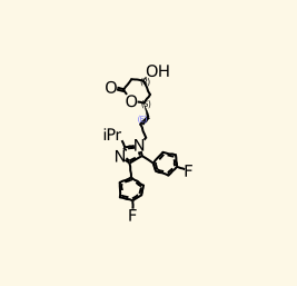 CC(C)c1nc(-c2ccc(F)cc2)c(-c2ccc(F)cc2)n1C/C=C/[C@@H]1C[C@@H](O)CC(=O)O1